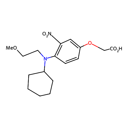 COCCN(c1ccc(OCC(=O)O)cc1[N+](=O)[O-])C1CCCCC1